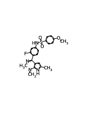 C=Nc1[nH]c(C)cc1/C(=N\C)c1ccc(NS(=O)(=O)c2ccc(OC)cc2)cc1F